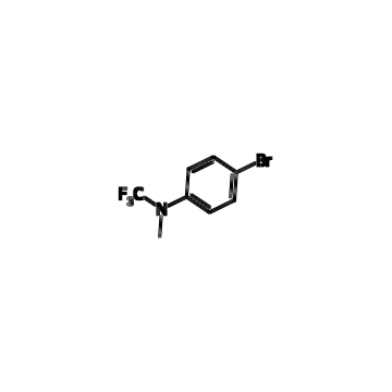 CN(c1ccc(Br)cc1)C(F)(F)F